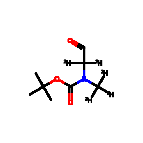 [2H]C([2H])([2H])N(C(=O)OC(C)(C)C)C([2H])([2H])C=O